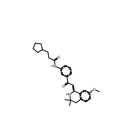 COc1ccc2c(c1)/C(=C/C(=O)c1cccc(NC(=O)CCC3CCCC3)c1)NC(C)(C)C2